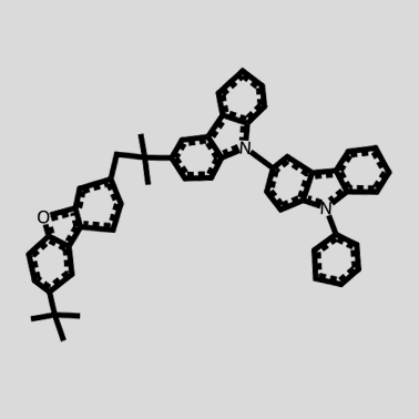 CC(C)(C)c1ccc2oc3cc(CC(C)(C)c4ccc5c(c4)c4ccccc4n5-c4ccc5c(c4)c4ccccc4n5-c4ccccc4)ccc3c2c1